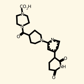 O=C1CCC(c2ccnc(N3CCC(C(=O)N4CCN(C(=O)O)CC4)CC3)c2)C(=O)N1